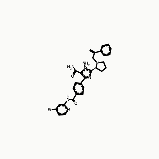 C=C(CN1CCC[C@H]1c1nc(-c2ccc(C(=O)Nc3cc(CC)ccn3)cc2)c(C(N)=O)n1N)c1ccccc1